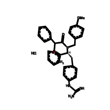 COc1ccc(CN(C(=O)C(c2ccccc2)c2ccccc2)[C@H](Cc2ccc(NC(=N)N)cc2)C(N)=O)cc1.Cl